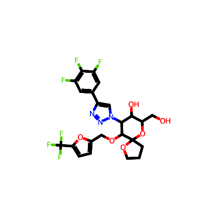 OCC1OC2(CCCO2)C(OCc2ccc(C(F)(F)F)o2)C(n2cc(-c3cc(F)c(F)c(F)c3)nn2)C1O